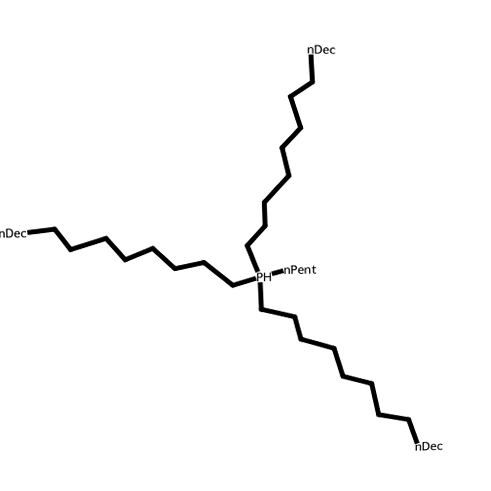 CCCCCCCCCCCCCCCCCC[PH](CCCCC)(CCCCCCCCCCCCCCCCCC)CCCCCCCCCCCCCCCCCC